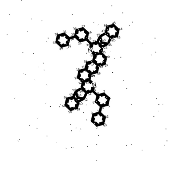 c1ccc(-c2cccc(-c3nc4c(ccc5cc6c(ccc7c8c(c(-c9cccc(-c%10ccccc%10)c9)nc76)C6CC8c7ccccc76)cc54)c4c3C3CC4c4ccccc43)c2)cc1